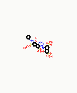 Nc1c(/N=N/c2cc(S(=O)(=O)O)cc3cc(S(=O)(=O)O)ccc23)c(S(=O)(=O)O)cc2cc(SOOO)c(/N=N/c3ccccc3)c(O)c12